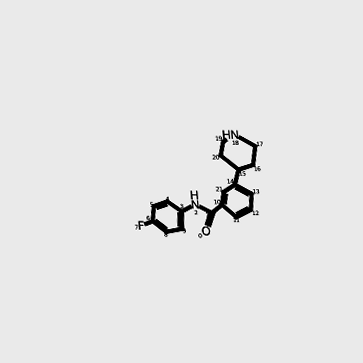 O=C(Nc1ccc(F)cc1)c1cccc(C2CCNCC2)c1